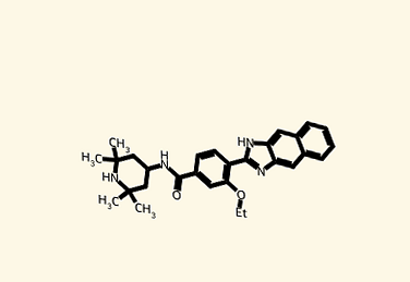 CCOc1cc(C(=O)NC2CC(C)(C)NC(C)(C)C2)ccc1-c1nc2cc3ccccc3cc2[nH]1